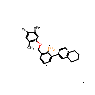 CCCc1cc(OCc2cccc(-c3ccc4c(c3)CCCC4)c2P)c(C)cc1CC